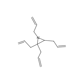 C=CCC1N(CC=C)C1(CC=C)CC=C